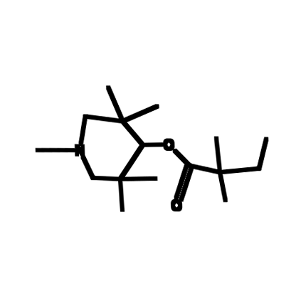 CCC(C)(C)C(=O)OC1C(C)(C)CN(C)CC1(C)C